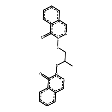 CC(CSn1ncc2ccccc2c1=O)Sn1ncc2ccccc2c1=O